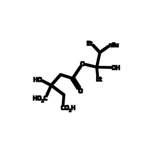 CCCCC(CC)C(O)(CC)OC(=O)CC(O)(CC(=O)O)C(=O)O